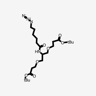 CC(C)(C)OC(=O)CCOCC(COCCC(=O)OC(C)(C)C)NC(=O)CCCCCN=[N+]=[N-]